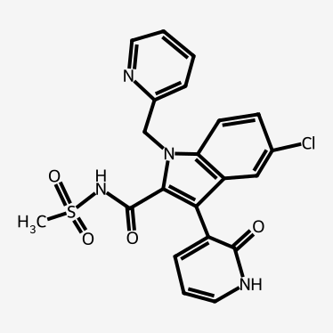 CS(=O)(=O)NC(=O)c1c(-c2ccc[nH]c2=O)c2cc(Cl)ccc2n1Cc1ccccn1